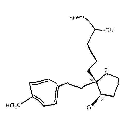 CCCCCC(O)CCC[C@@]1(CCc2ccc(C(=O)O)cc2)NCC[C@H]1Cl